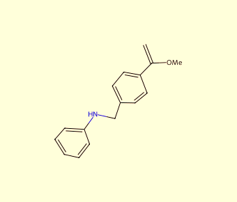 C=C(OC)c1ccc(CNc2ccccc2)cc1